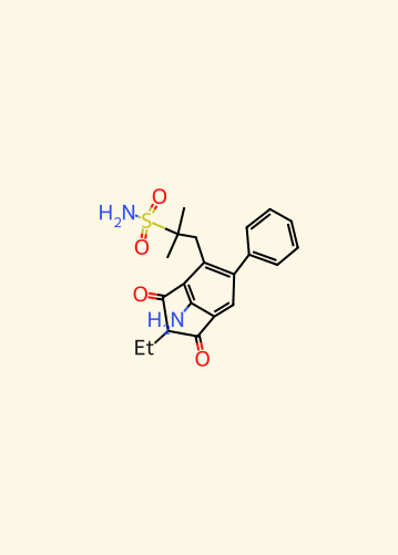 CCC1C(=O)c2cc(-c3ccccc3)c(CC(C)(C)S(N)(=O)=O)c(c2N)C1=O